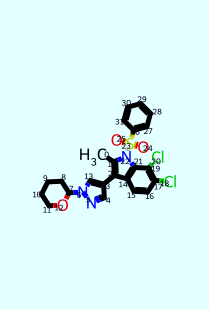 Cc1c(-c2cnn(C3CCCCO3)c2)c2ccc(Cl)c(Cl)c2n1S(=O)(=O)c1ccccc1